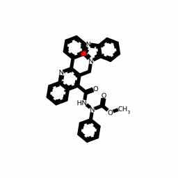 COC(=O)N(NC(=O)c1c(Cn2cnc3ccccc32)c(-c2ccccc2)nc2ccccc12)c1ccccc1